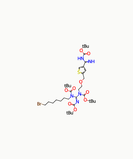 CC(C)(C)OC(=O)/N=C(\N(CCCCCCCBr)C(=O)OC(C)(C)C)N(CCOCc1cc(C(=N)NC(=O)OC(C)(C)C)cs1)C(=O)OC(C)(C)C